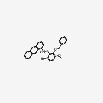 COc1ccc(Br)c(CNc2cccc3cc4ccccc4cc23)c1OCc1ccccc1